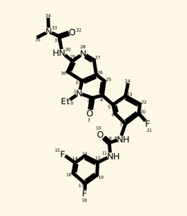 CCn1c(=O)c(-c2cc(NC(=O)Nc3cc(F)cc(F)c3)c(F)cc2C)cc2cnc(NC(=O)N(C)C)cc21